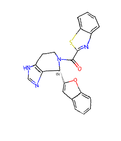 O=C(c1nc2ccccc2s1)N1CCc2[nH]cnc2[C@H]1c1cc2ccccc2o1